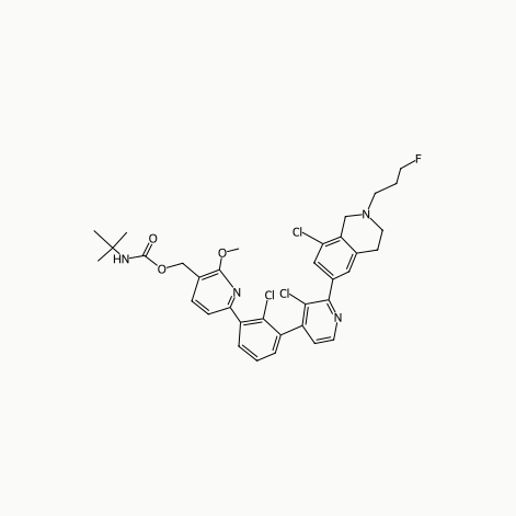 COc1nc(-c2cccc(-c3ccnc(-c4cc(Cl)c5c(c4)CCN(CCCF)C5)c3Cl)c2Cl)ccc1COC(=O)NC(C)(C)C